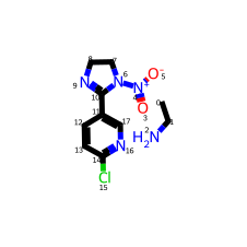 CCN.O=[N+]([O-])N1CCN=C1c1ccc(Cl)nc1